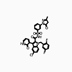 CC1=NN(c2cccc(S(=O)(=O)NC(=O)c3c(-c4ccc[nH]c4=O)c4cc(Cl)ccc4n3Cc3cc(F)ccc3F)c2)C(=O)C1